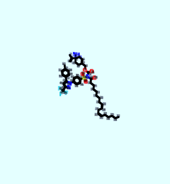 C=C(C)[C@]1(N)CC=C(COC(=O)N(C(=O)CCCCCCC/C=C\C/C=C\CCCCC)S(=O)(=O)c2ccc(-n3nc(C(F)(F)F)cc3-c3ccc(C)cc3)cc2)CC1